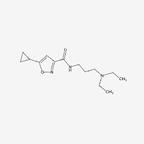 CCN(CC)CCCNC(=O)c1cc(C2CC2)on1